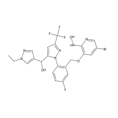 CCn1cc(C(O)c2cc(C(F)(F)F)nn2-c2ccc(F)cc2COc2cc(Br)cnc2NO)cn1